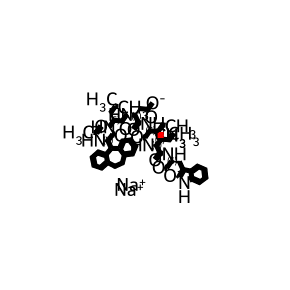 CC[C@H](C)[C@H](NC(=O)[C@H](CC(=O)[O-])NC(=O)[C@H](CC(C)C)NC(=O)[C@H](NC(C)=O)C1c2ccccc2CCc2ccccc21)C(=O)N[C@H](C(=O)N[C@@H](Cc1c[nH]c2ccccc12)C(=O)[O-])[C@@H](C)CC.[Na+].[Na+]